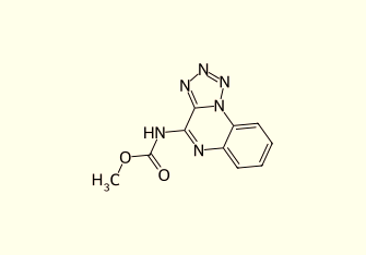 COC(=O)Nc1nc2ccccc2n2nnnc12